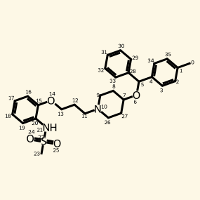 Cc1ccc(C(OC2CCN(CCCOc3ccccc3NS(C)(=O)=O)CC2)c2ccccc2)cc1